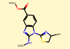 CCCCCCOC(=O)c1ccc2c(c1)nc(NC=O)n2C1=NC(CCC)CS1